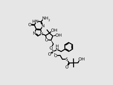 CC(C)(CO)C(=O)SCCOP(=O)(NCc1ccccc1)OC[C@H]1OC(n2cnc3c(=O)[nH]c(N)nc32)C(C)(O)[C@H]1O